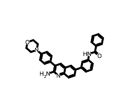 Nc1nc2ccc(-c3cccc(NC(=O)c4ccccc4)c3)cc2cc1-c1ccc(N2CCOCC2)cc1